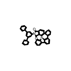 O=C1c2cccc(-n3c4ccccc4c4cccc(-c5ccccc5)c43)c2C(=O)N1c1cc(-c2ccccc2)cc(-c2ccccc2)c1